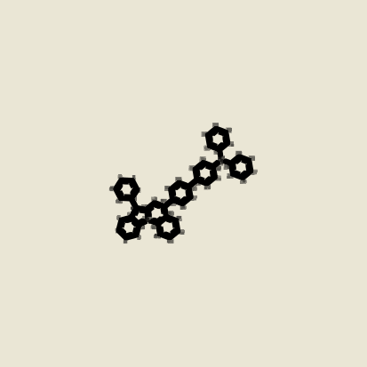 c1ccc(-c2c3ccccc3n3c2cc(-c2ccc(-c4ccc(N(c5ccccc5)c5ccccc5)cc4)cc2)c2ccccc23)cc1